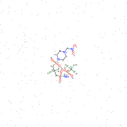 O=[N+]([O-])CN1CCN(S(=O)(=O)CC(F)(F)CS(=O)(=O)NS(=O)(=O)C(F)(F)F)CC1